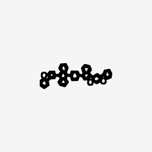 c1ccc2c(c1)oc1ccc(-c3c4ccccc4c(-c4ccc(-c5cc6oc7cc8oc9ccccc9c8cc7c6c6ccccc56)cc4)c4ccccc34)cc12